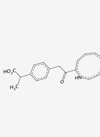 CC(C(=O)O)c1ccc(CC(=O)c2ccccccc[nH]2)cc1